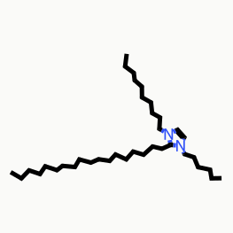 CCCCCCCCCCCCCCCCCCC1N(CCCCCC)C=CN1CCCCCCCCCC